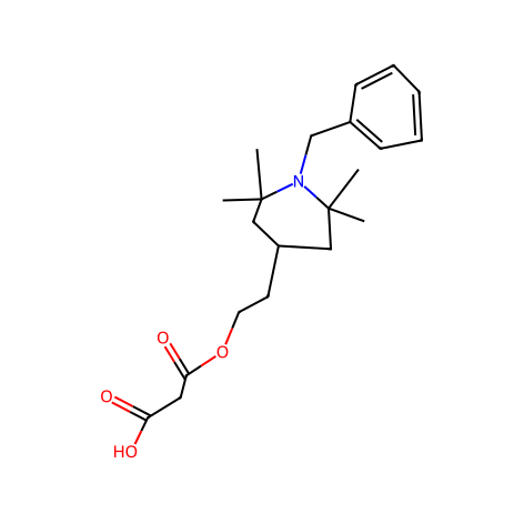 CC1(C)CC(CCOC(=O)CC(=O)O)CC(C)(C)N1Cc1ccccc1